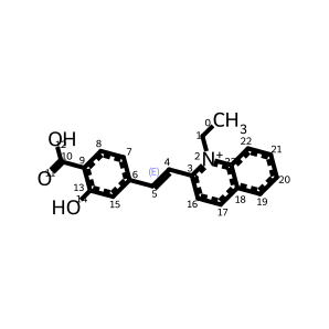 CC[n+]1c(/C=C/c2ccc(C(=O)O)c(O)c2)ccc2ccccc21